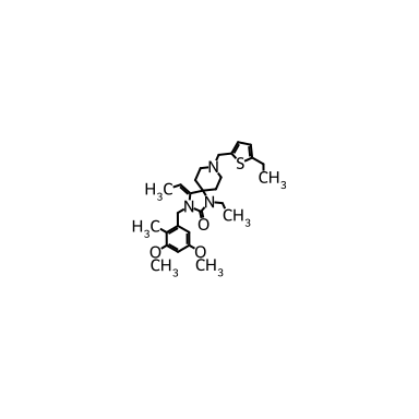 C/C=C1\N(Cc2cc(OC)cc(OC)c2C)C(=O)N(CC)C12CCN(Cc1ccc(CC)s1)CC2